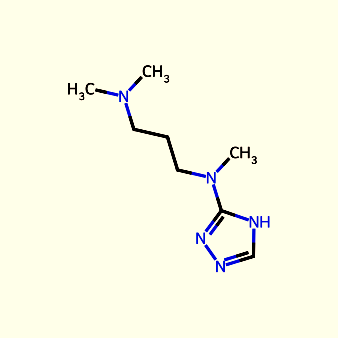 CN(C)CCCN(C)c1nnc[nH]1